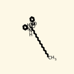 CCCCCCCCCCCCCCCCCc1[nH]n2c(nc3ccccc32)c1OS(=O)(=O)c1ccccc1